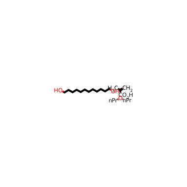 C=C(C)C(=O)O.CCCOCCC.OCCCCCCCCCCCCO